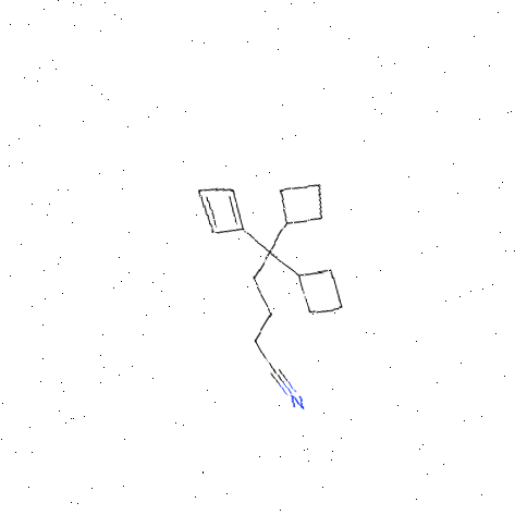 N#CCCCC(C1=CC=C1)(C1CCC1)C1CCC1